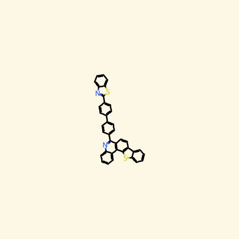 c1ccc2sc(-c3ccc(-c4ccc(-c5nc6ccccc6c6c5ccc5c7ccccc7sc56)cc4)cc3)nc2c1